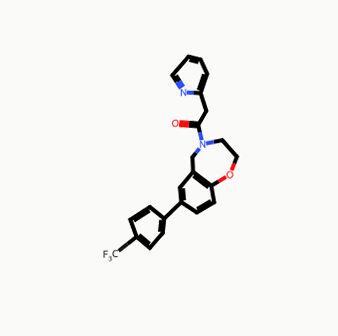 O=C(Cc1ccccn1)N1CCOc2ccc(-c3ccc(C(F)(F)F)cc3)cc2C1